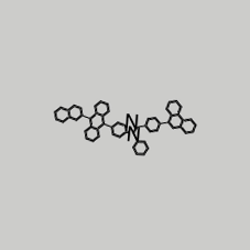 c1ccc(-n2c(-c3ccc(-c4cc5ccccc5c5ccccc45)cc3)nc3cc(-c4c5ccccc5c(-c5ccc6ccccc6c5)c5ccccc45)ccc32)cc1